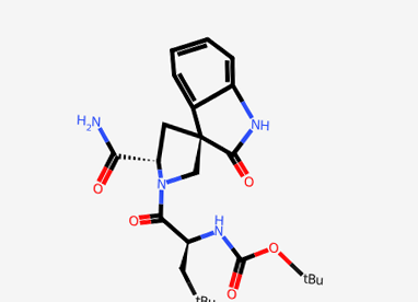 CC(C)(C)C[C@H](NC(=O)OC(C)(C)C)C(=O)N1C[C@]2(C[C@H]1C(N)=O)C(=O)Nc1ccccc12